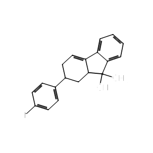 CC1(C)c2ccccc2C2=CCC(c3ccc(I)cc3)CC21